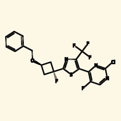 Fc1cnc(Cl)nc1-c1sc([C@]2(F)C[C@H](OCc3ccccc3)C2)nc1C(F)(F)F